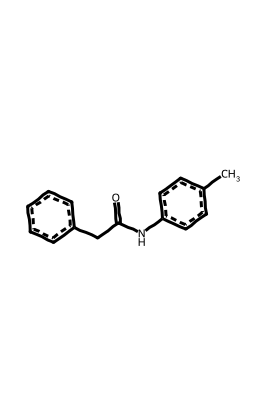 Cc1ccc(NC(=O)Cc2ccccc2)cc1